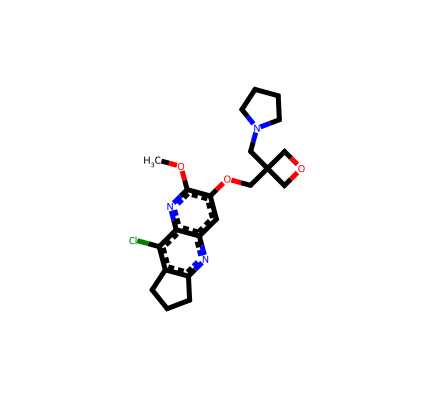 COc1nc2c(Cl)c3c(nc2cc1OCC1(CN2CCCC2)COC1)CCC3